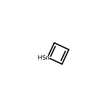 C1=[CH][SnH]=[CH]1